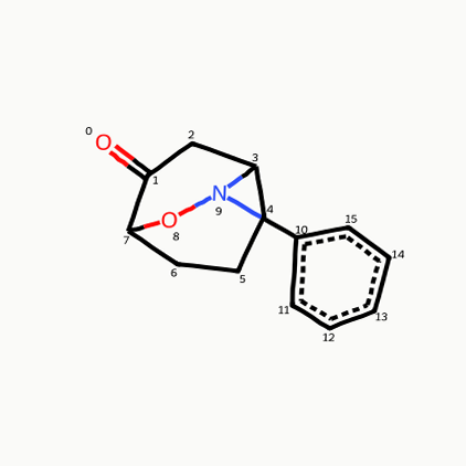 O=C1CC2CCCC1ON2c1ccccc1